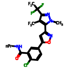 CCCNC(=O)c1cc(-c2cc(-c3c(C(F)(F)F)c(C(F)(F)C(F)(F)F)nn3C)no2)ccc1Cl